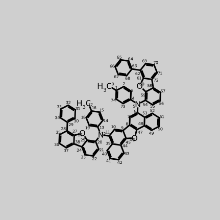 Cc1ccc(N(c2cc3c4cc(N(c5ccc(C)cc5)c5cccc6c5oc5c(-c7ccccc7)cccc56)c5ccccc5c4oc3c3ccccc23)c2cccc3c2oc2c(-c4ccccc4)cccc23)cc1